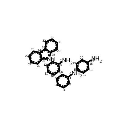 Nc1ccccc1.Nc1ccccc1.Nc1ccccc1.c1ccc2c(c1)[nH]c1ccccc12